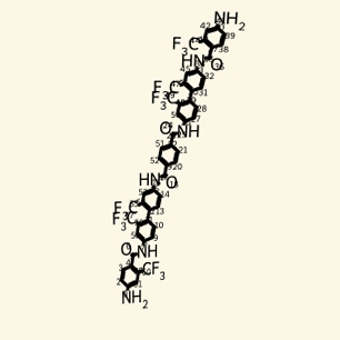 Nc1ccc(C(=O)Nc2ccc(-c3ccc(NC(=O)c4ccc(C(=O)Nc5ccc(-c6ccc(NC(=O)c7ccc(N)cc7C(F)(F)F)cc6C(F)(F)F)c(C(F)(F)F)c5)cc4)cc3C(F)(F)F)c(C(F)(F)F)c2)c(C(F)(F)F)c1